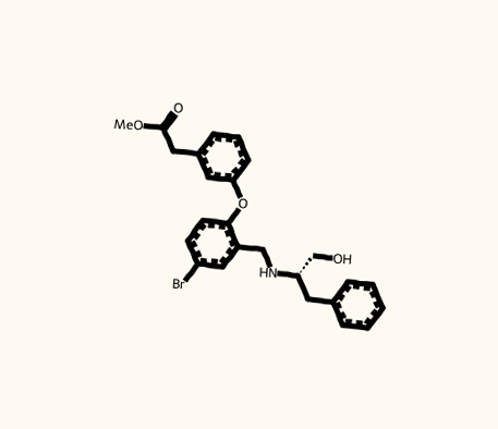 COC(=O)Cc1cccc(Oc2ccc(Br)cc2CN[C@H](CO)Cc2ccccc2)c1